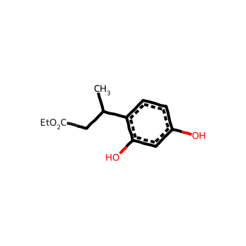 CCOC(=O)CC(C)c1ccc(O)cc1O